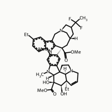 CCc1ccc2[nH]c3c(c2c1)CN1CC(C(C)(F)F)C[C@@H](C1)C[C@]3(C(=O)OC)c1cc2c(cc1OC)N(C)[C@H]1[C@@](O)(C(=O)OC)[C@H](O)[C@]3(CC)C=CCN4CC[C@]21[C@@H]43